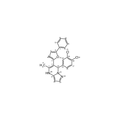 CC1=C(c2ncc(-c3ccccc3)o2)C(c2ccc(Cl)c(Cl)c2)n2nccc2N1